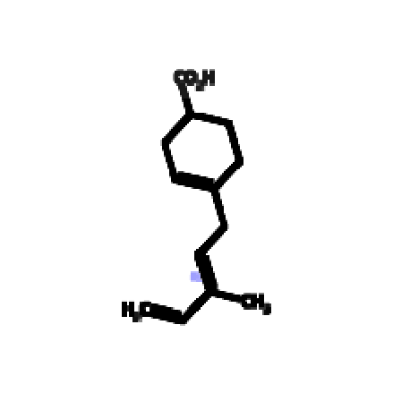 C=C/C(C)=C/CC1=CCC(C(=O)O)CC1